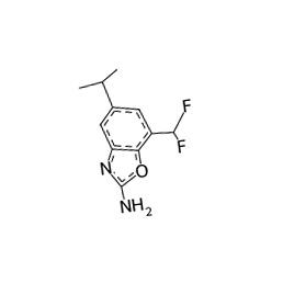 CC(C)c1cc(C(F)F)c2oc(N)nc2c1